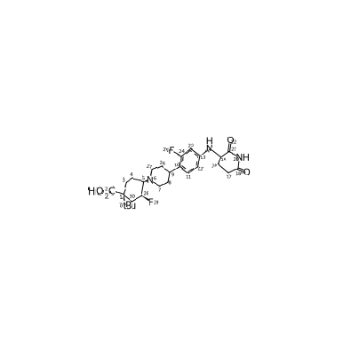 CC(C)(C)[C@@]1(C(=O)O)CC[C@@H](N2CCC(c3ccc(NC4CCC(=O)NC4=O)cc3F)CC2)[C@@H](F)C1